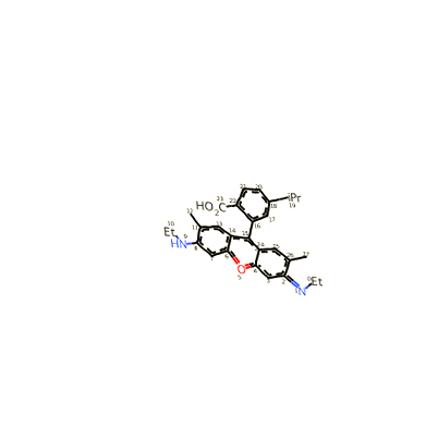 CC/N=c1/cc2oc3cc(NCC)c(C)cc3c(-c3cc(C(C)C)ccc3C(=O)O)c-2cc1C